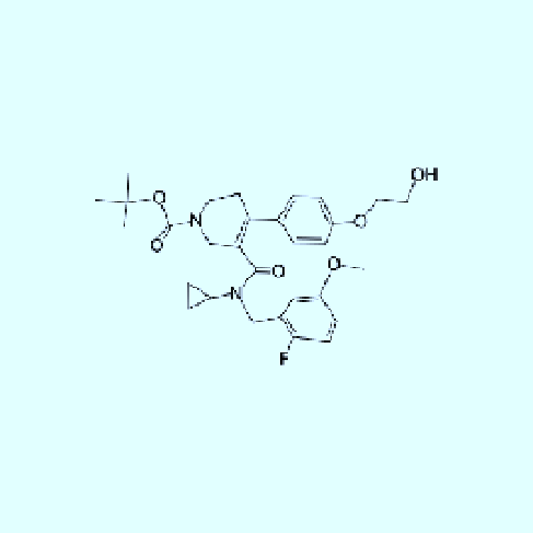 COc1ccc(F)c(CN(C(=O)C2=C(c3ccc(OCCO)cc3)CCN(C(=O)OC(C)(C)C)C2)C2CC2)c1